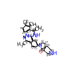 Cc1c([C@@H](C)Nc2nnc(C)c3ccc(N4CCC5(CCNCC5)C4=O)cc23)cccc1C(F)(F)F